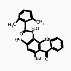 Cc1cccc(C)c1C(=O)[PH](=O)c1c(C(C)(C)C)cc(C(C)(C)C)c(C(=O)c2ccccc2)c1C(C)(C)C